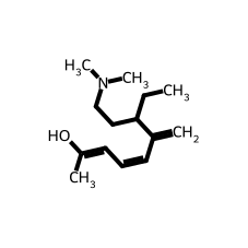 C=C(/C=C\C=C(/C)O)C(CC)CCN(C)C